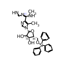 CN/C(=N/C=N)c1ncn([C@@H]2O[C@H](CO[Si](c3ccccc3)(c3ccccc3)c3ccccc3)[C@@H](O)[C@H]2O)c1C